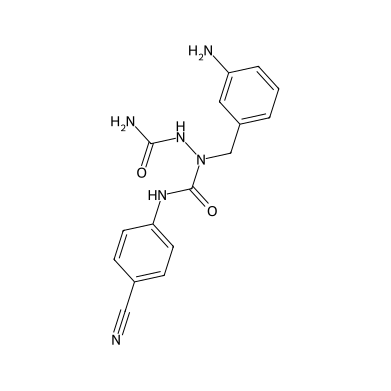 N#Cc1ccc(NC(=O)N(Cc2cccc(N)c2)NC(N)=O)cc1